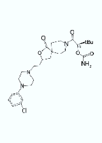 CC(C)(C)[C@@H](OC(N)=O)C(=O)N1CCC2(CC1)CC(CCN1CCN(c3cccc(Cl)c3)CC1)OC2=O